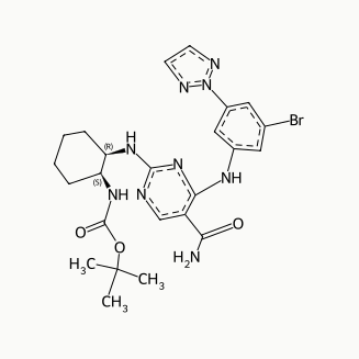 CC(C)(C)OC(=O)N[C@H]1CCCC[C@H]1Nc1ncc(C(N)=O)c(Nc2cc(Br)cc(-n3nccn3)c2)n1